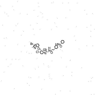 Cc1nc2c(OCc3c(Cl)ccc(N(C)C(=O)CNC(=O)/C=C/c4ccc(NC(=O)c5ccccc5)cc4)c3Cl)cccn2c1Br